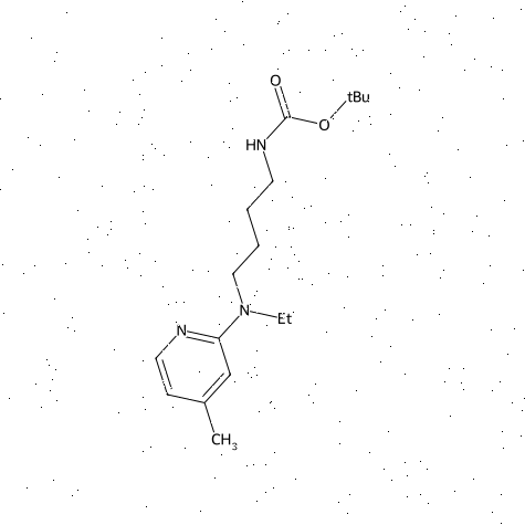 CCN(CCCCNC(=O)OC(C)(C)C)c1cc(C)ccn1